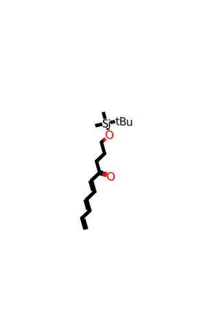 C=CC=CC=CC(=O)CCCO[Si](C)(C)C(C)(C)C